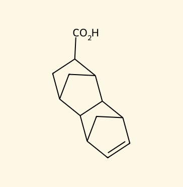 O=C(O)C1CC2CC1C1C3C=CC(C3)C21